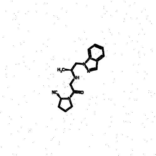 C[C@@H](Cn1ncc2ccccc21)NCC(=O)N1CCC[C@H]1C#N